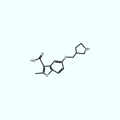 Cc1oc2ccc(OCC3CCNC3)cc2c1C(=O)O